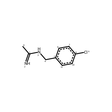 CC(=N)NCc1ccc(Cl)cc1